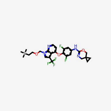 C[Si](C)(C)CCOCn1cc(C(F)(F)F)c2c(Oc3c(F)cc(NC4=NCC5(CC5)CO4)cc3F)ccnc21